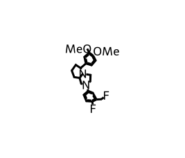 COc1ccc(C2CCCC3CN(c4ccc(F)c(CF)c4)CCN32)cc1OC